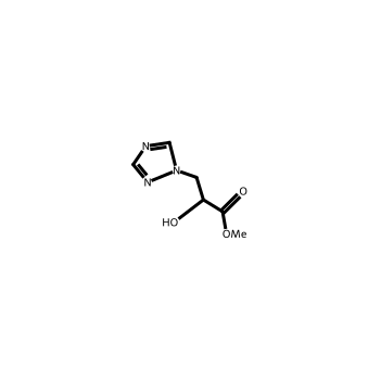 COC(=O)C(O)Cn1cncn1